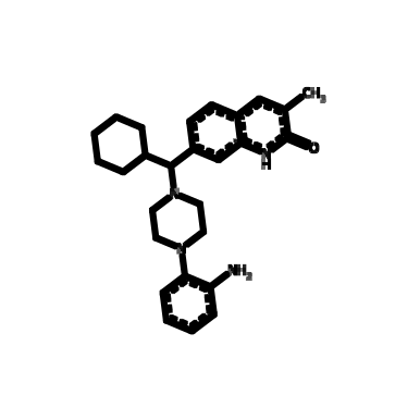 Cc1cc2ccc(C(C3CCCCC3)N3CCN(c4ccccc4N)CC3)cc2[nH]c1=O